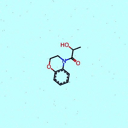 CC(O)C(=O)N1CCOc2cc[c]cc21